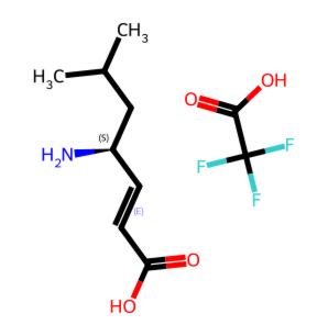 CC(C)C[C@H](N)/C=C/C(=O)O.O=C(O)C(F)(F)F